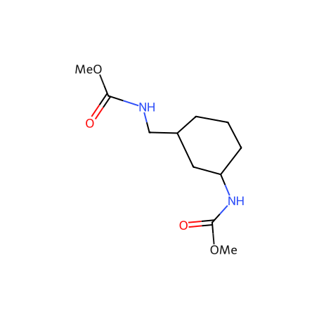 COC(=O)NCC1CCCC(NC(=O)OC)C1